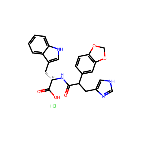 Cl.O=C(N[C@@H](Cc1c[nH]c2ccccc12)C(=O)O)C(Cc1c[nH]cn1)c1ccc2c(c1)OCO2